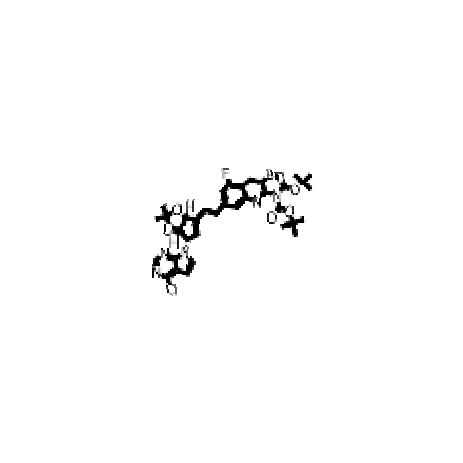 CC(C)(C)OC(=O)N(C(=O)OC(C)(C)C)c1nc2cc(CCC3=C[C@@H](n4ccc5c(Cl)ncnc54)[C@@H]4OC(C)(C)O[C@H]34)cc(F)c2cc1Br